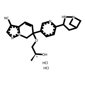 C[C@H](O)COC1(c2ccc(C3CC4CN(C4)N3)nc2)C=Cc2c(C#N)cnn2C1.Cl.Cl